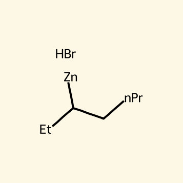 Br.CCCC[CH]([Zn])CC